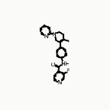 CC1=C(c2ccc(NC(=O)c3ccncc3F)cc2)CN(c2ccccn2)CC1